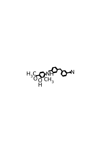 CC(=O)c1ccc(NCc2ccc(Cc3cccc(C#N)c3)cc2)c(C)c1O